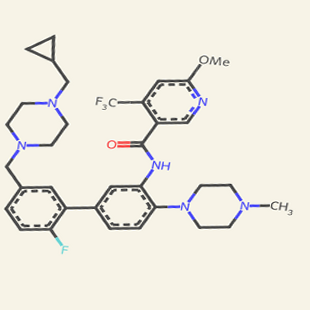 COc1cc(C(F)(F)F)c(C(=O)Nc2cc(-c3cc(CN4CCN(CC5CC5)CC4)ccc3F)ccc2N2CCN(C)CC2)cn1